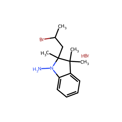 Br.CC(Br)CC1(C)N(N)c2ccccc2C1(C)C